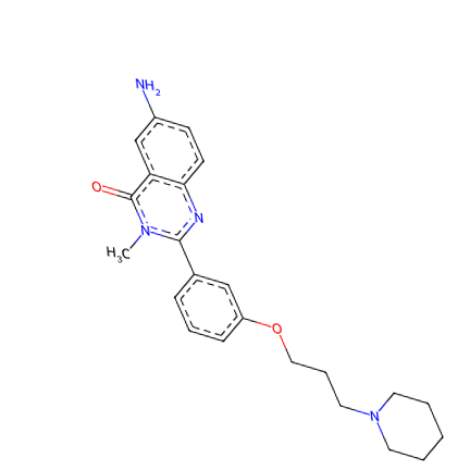 Cn1c(-c2cccc(OCCCN3CCCCC3)c2)nc2ccc(N)cc2c1=O